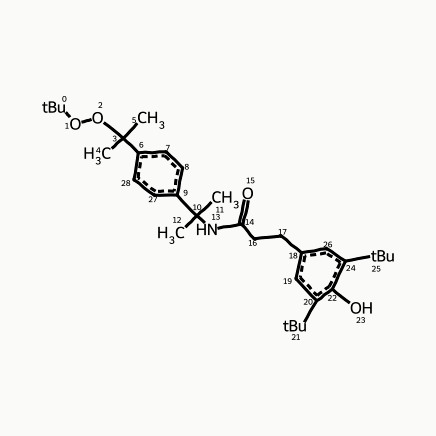 CC(C)(C)OOC(C)(C)c1ccc(C(C)(C)NC(=O)CCc2cc(C(C)(C)C)c(O)c(C(C)(C)C)c2)cc1